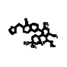 Cc1nc(C)c(C(OC(C)(C)C)C(=O)O)c(N2CCC(C)(C)CC2)c1-c1ccc2c(c1)CCN(Cc1nccs1)C2=O